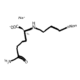 CCCCCCCCCCCCN[C@@H](CCC(N)=O)C(=O)[O-].[Na+]